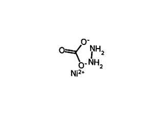 NN.O=C([O-])[O-].[Ni+2]